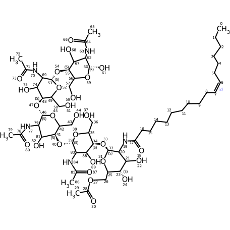 CCCCCC/C=C\CCCCCCCCCC(=O)NC1C(O)[C@H](O)C(COC(C)=O)O[C@H]1O[C@@H]1C(CO)O[C@@H](O[C@@H]2C(CO)O[C@@H](O[C@@H]3C(CO)O[C@@H](O[C@@H]4C(CO)O[C@@H](O)C(NC(C)=O)C4O)C(NC(C)=O)C3O)C(NC(C)=O)C2O)C(NC(C)=O)C1O